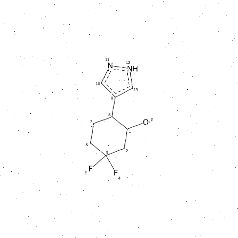 [O]C1CC(F)(F)CCC1c1cn[nH]c1